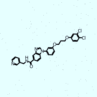 O=C(NCc1cccnc1)c1ccc2c(c1)ncn2-c1cccc(OCCCOc2ccc(Cl)c(Cl)c2)c1